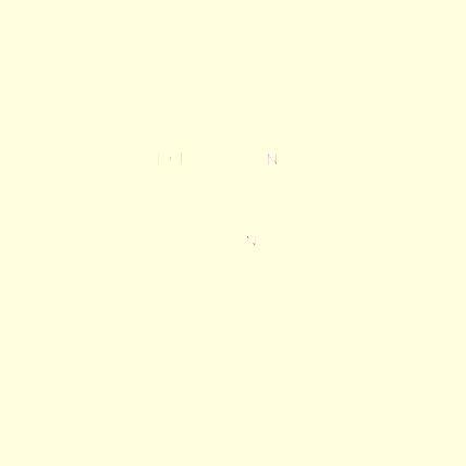 Cl.ClC(=Nc1ccccn1)c1ccccc1